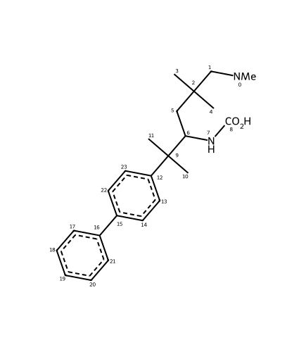 CNCC(C)(C)CC(NC(=O)O)C(C)(C)c1ccc(-c2ccccc2)cc1